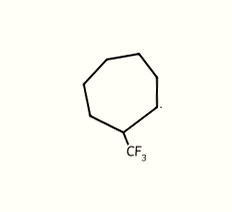 FC(F)(F)C1[CH]CCCCC1